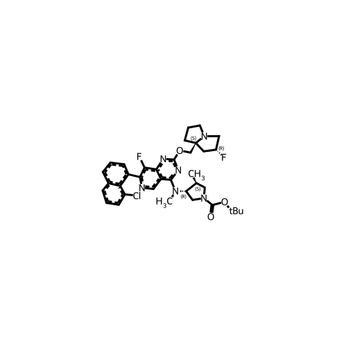 C[C@H]1CN(C(=O)OC(C)(C)C)C[C@@H]1N(C)c1nc(OC[C@@]23CCCN2C[C@H](F)C3)nc2c(F)c(-c3cccc4cccc(Cl)c34)ncc12